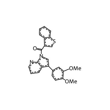 COc1ccc(-c2cn(C(=O)c3csc4ccccc34)c3ncccc23)cc1OC